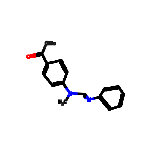 COC(=O)c1ccc(N(C)C=Nc2ccccc2)cc1